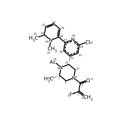 C=C(F)C(=O)N1C[C@H](C)N(C(C)=O)[C@H](c2cc(Cl)nc(C3=CC=CC(C)N3C)c2)C1